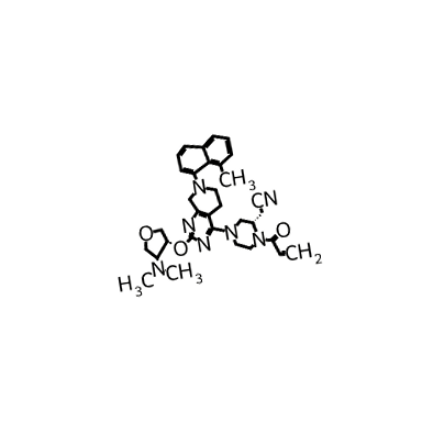 C=CC(=O)N1CCN(c2nc(O[C@H]3COC[C@H]3N(C)C)nc3c2CCN(c2cccc4cccc(C)c24)C3)C[C@@H]1CC#N